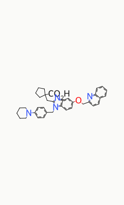 O=C(O)C1(Cc2nc3cc(OCc4ccc5ccccc5n4)ccc3n2Cc2ccc(N3CCCCC3)cc2)CCCC1